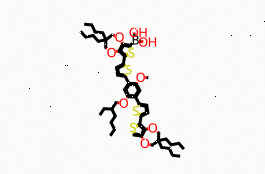 CCCCC(CC)COc1cc(-c2ccc(-c3sc(B(O)O)c4c3OCC(CCCC)(CCCC)CO4)s2)c(OC)cc1-c1ccc(-c2scc3c2OCC(CCCC)(CCCC)CO3)s1